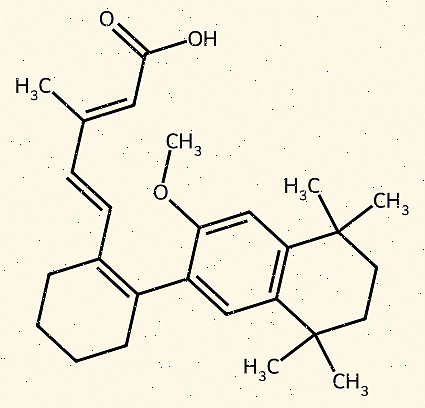 COc1cc2c(cc1C1=C(C=CC(C)=CC(=O)O)CCCC1)C(C)(C)CCC2(C)C